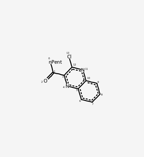 CCCCCC(=O)c1nc2ccccc2nc1Cl